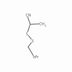 CCCCSSC(C)C#N